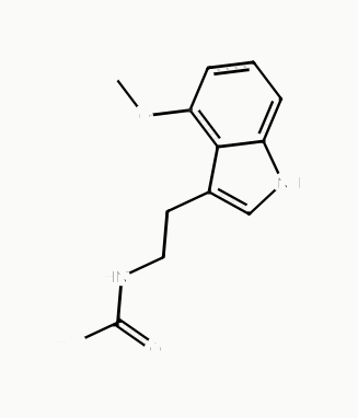 COc1cccc2[nH]cc(CCNC(=O)O)c12